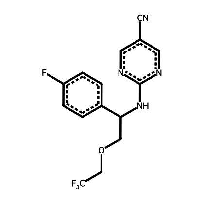 N#Cc1cnc(NC(COCC(F)(F)F)c2ccc(F)cc2)nc1